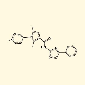 Cc1ccc(-n2c(C)cc(C(=O)Nc3nc(-c4ccccc4)cs3)c2C)cc1